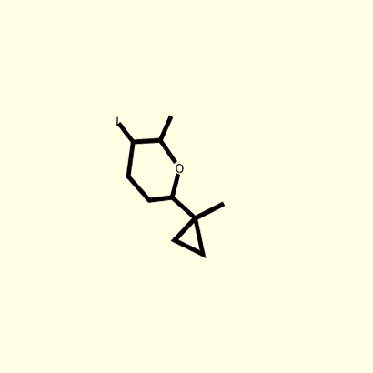 CC1OC(C2(C)CC2)CCC1I